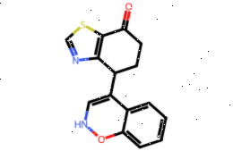 O=C1CCC(C2=CNOc3ccccc32)c2ncsc21